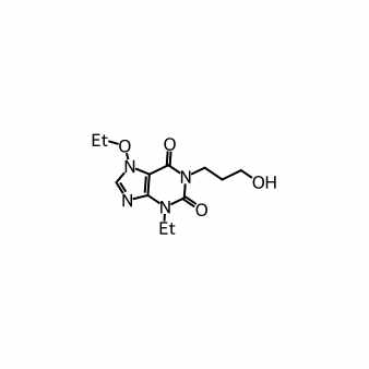 CCOn1cnc2c1c(=O)n(CCCO)c(=O)n2CC